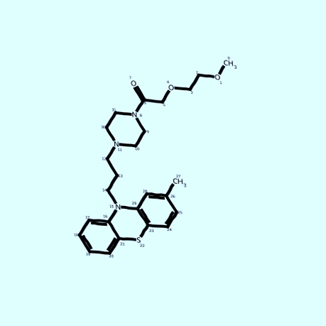 COCCOCC(=O)N1CCN(CCCN2c3ccccc3Sc3ccc(C)cc32)CC1